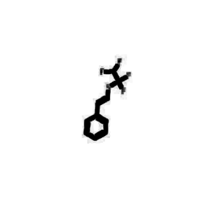 FC(F)C(F)(F)SC=Cc1ccccc1